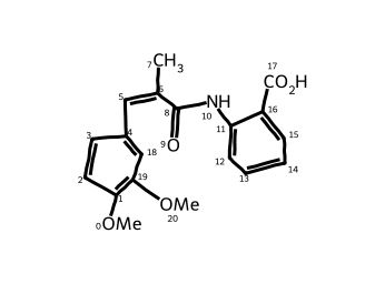 COc1ccc(C=C(C)C(=O)Nc2ccccc2C(=O)O)cc1OC